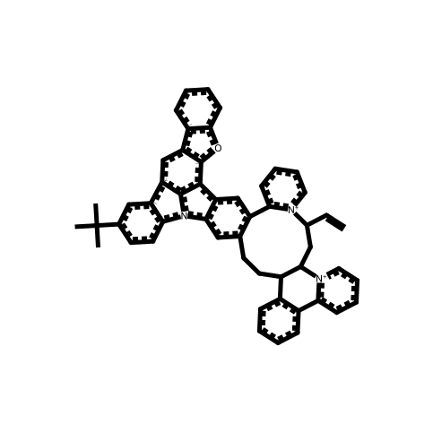 C=CC1CC2C(CCc3cc4c(cc3-c3cccc[n+]31)c1c3oc5ccccc5c3cc3c5cc(C(C)(C)C)ccc5n4c31)c1ccccc1-c1cccc[n+]12